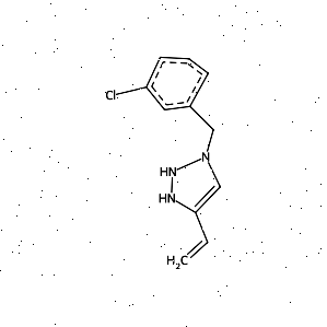 C=CC1=CN(Cc2cccc(Cl)c2)NN1